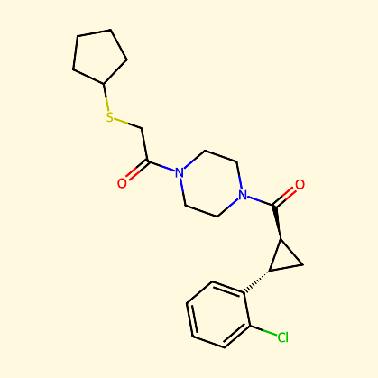 O=C(CSC1CCCC1)N1CCN(C(=O)[C@H]2C[C@@H]2c2ccccc2Cl)CC1